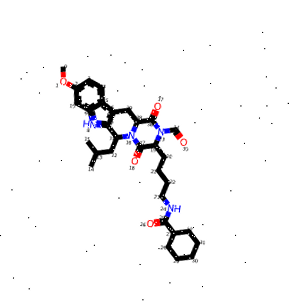 COc1ccc2c3c([nH]c2c1)C(CC(C)C)N1C(=O)C(CCCCNC(=O)C2CCCCC2)N(C=O)C(=O)C1C3